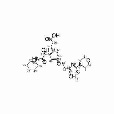 Cc1sc(N2CCOCC2)nc1CCOc1ccc(CCC(=O)O)c(C(O)C(=O)NC2CCCCC2)c1